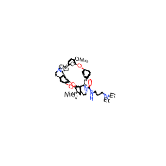 CCN(CC)CCCNC(=O)N1CCc2cc(OC)c3c4c2C1Cc1ccc(cc1)Oc1cc(ccc1OC)CC1c2cc(c(cc2CCN1C)O3)O4